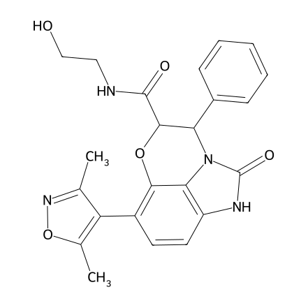 Cc1noc(C)c1-c1ccc2[nH]c(=O)n3c2c1OC(C(=O)NCCO)C3c1ccccc1